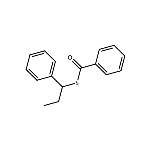 CCC(SC(=O)c1ccccc1)c1ccccc1